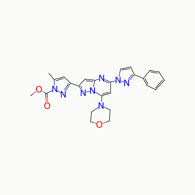 COC(=O)n1nc(-c2cc3nc(-n4ccc(-c5ccccc5)n4)cc(N4CCOCC4)n3n2)cc1C